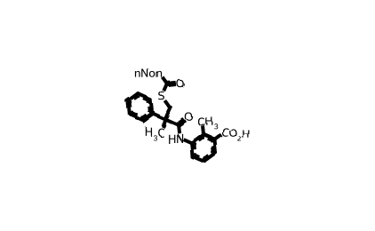 CCCCCCCCCC(=O)SCC(C)(C(=O)Nc1cccc(C(=O)O)c1C)c1ccccc1